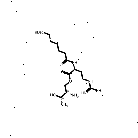 CCCCCCCCCCCCCCCC(=O)NC(CCNC(=N)N)C(=O)OC[C@H](N)[C@H](C)O